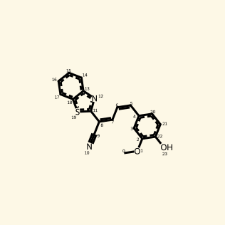 COc1cc(/C=C\C=C(\C#N)c2nc3ccccc3s2)ccc1O